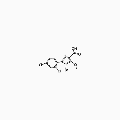 COc1c(C(=O)O)sc(-c2ccc(Cl)cc2Cl)c1Br